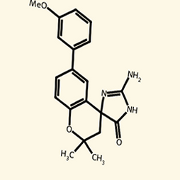 COc1cccc(-c2ccc3c(c2)C2(CC(C)(C)O3)N=C(N)NC2=O)c1